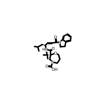 CC(C)C[C@@H](C=CC(=O)N1CCc2ccccc21)NC(=O)[C@]1(C(C)(C)C)CN(C(=O)O)CCCO1